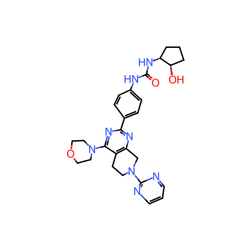 O=C(Nc1ccc(-c2nc3c(c(N4CCOCC4)n2)CCN(c2ncccn2)C3)cc1)N[C@H]1CCC[C@H]1O